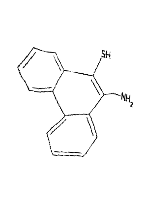 Nc1c(S)c2ccccc2c2ccccc12